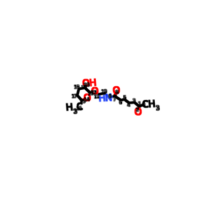 CC(=O)CCCCC(=O)NCCO[C@@H]1O[C@@H](C)CC[C@@H]1O